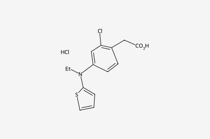 CCN(c1ccc(CC(=O)O)c(Cl)c1)c1cccs1.Cl